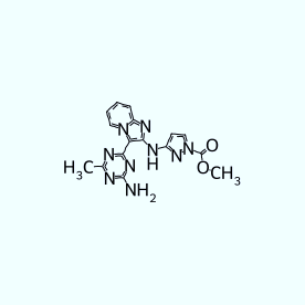 COC(=O)n1ccc(Nc2nc3ccccn3c2-c2nc(C)nc(N)n2)n1